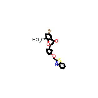 O=C(O)c1cc(Br)cc2c(=O)cc(-c3cccc(OCc4nc5ccccc5s4)c3)oc12